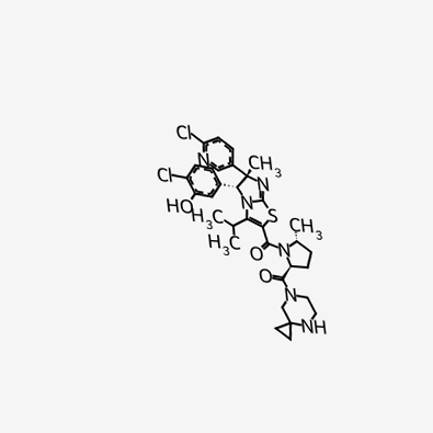 CC(C)C1=C(C(=O)N2[C@H](C)CC[C@H]2C(=O)N2CCNC3(CC3)C2)SC2=N[C@@](C)(c3ccc(Cl)nc3)[C@@H](c3ccc(Cl)c(O)c3)N21